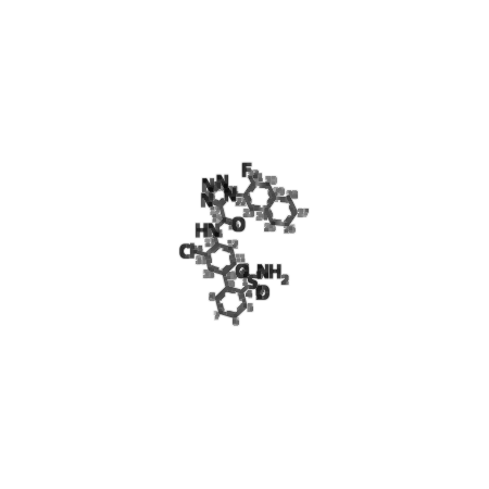 NS(=O)(=O)c1ccccc1-c1ccc(NC(=O)c2nnnn2-c2cc3ccccc3cc2F)c(Cl)c1